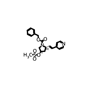 CS(=O)(=O)O[C@@H]1C[C@@H](C=Cc2ccncc2)N(C(=O)OCc2ccccc2)C1